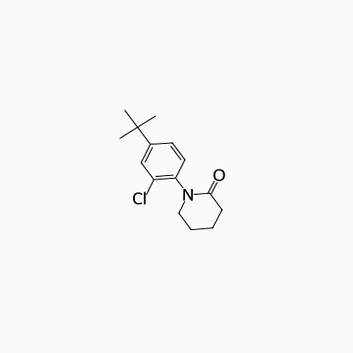 CC(C)(C)c1ccc(N2CCCCC2=O)c(Cl)c1